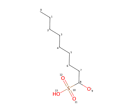 CCCCCCCCC([O])S(=O)(=O)O